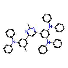 Cc1cc(-c2cc(-c3cc(N(c4ccccc4)c4ccccc4)cc(N(c4ccccc4)c4ccccc4)c3)nc(C)n2)cc(N(c2ccccc2)c2ccccc2)c1